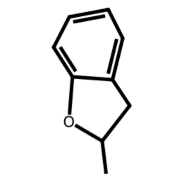 CC1Cc2ccccc2O1